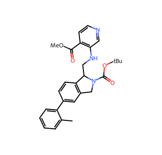 COC(=O)c1ccncc1NCC1c2ccc(-c3ccccc3C)cc2CN1C(=O)OC(C)(C)C